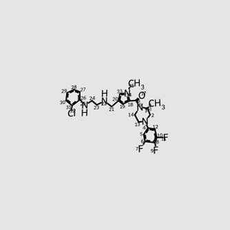 C[C@H]1CN(c2cc(F)c(F)c(F)c2)CCN1C(=O)c1cc(CNCCNc2ccccc2Cl)cn1C